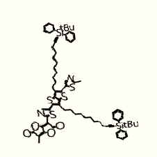 CC1=C2OC(=O)C(c3ncc(-c4sc5c(CCCCCCCCCC#C[Si](c6ccccc6)(c6ccccc6)C(C)(C)C)c(-c6cnc(C)s6)sc5c4CCCCCCCCCC#C[Si](c4ccccc4)(c4ccccc4)C(C)(C)C)s3)=C2OC1=O